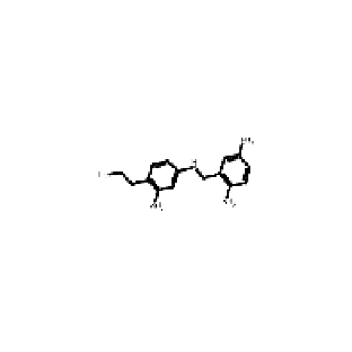 Nc1ccc(N)c(CNc2ccc(CCO)c(N)c2)c1